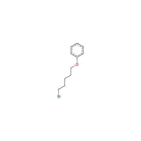 BrCCCCCOc1ccccc1